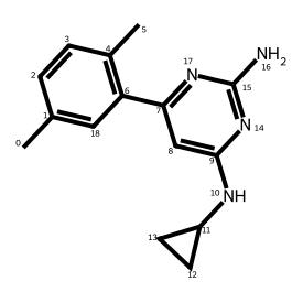 Cc1ccc(C)c(-c2cc(NC3CC3)nc(N)n2)c1